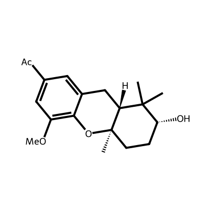 COc1cc(C(C)=O)cc2c1O[C@]1(C)CC[C@@H](O)C(C)(C)[C@H]1C2